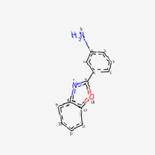 Nc1cc[c]c(-c2nc3ccccc3o2)c1